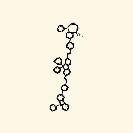 C=C1/C=C\C=C/CN(c2ccccc2)c2ccc(-c3ccc(/C=C/c4ccc5c(c4)C(c4ccccc4)(c4ccccc4)c4cc(/C=C/c6ccc(-c7ccc8c(c7)c7ccccc7n8-c7ccccc7)cc6)ccc4-5)cc3)cc21